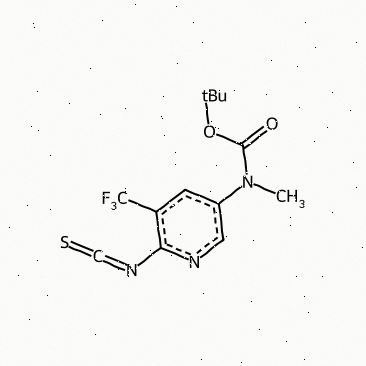 CN(C(=O)OC(C)(C)C)c1cnc(N=C=S)c(C(F)(F)F)c1